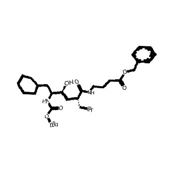 CC(C)C[C@H](C[C@H](O)C(CC1CCCCC1)NC(=O)OC(C)(C)C)C(=O)NCCCC(=O)OCc1ccccc1